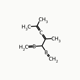 C=BC(B=C)C(C)=C=C(C)C